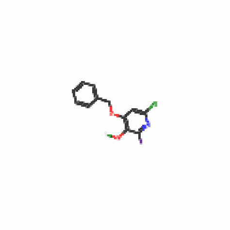 FOc1c(OCc2ccccc2)cc(Cl)nc1I